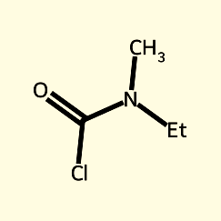 [CH2]CN(C)C(=O)Cl